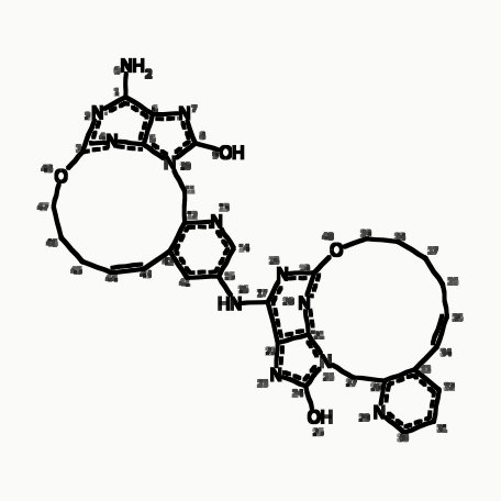 Nc1nc2nc3c1nc(O)n3Cc1ncc(Nc3nc4nc5c3nc(O)n5Cc3ncccc3/C=C\CCCCO4)cc1/C=C\CCCO2